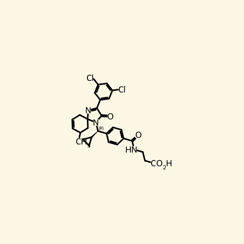 CC1C=CCC2(C1)N=C(c1cc(Cl)cc(Cl)c1)C(=O)N2[C@@H](c1ccc(C(=O)NCCC(=O)O)cc1)C1CC1